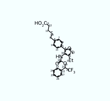 CCc1noc(-c2ccc(CSCCC(=O)O)cc2)c1NC(=O)OC(c1ccccc1)C(F)(F)F